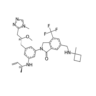 C=C[C@H](C)Nc1cc(C[C@H](Cc2nncn2C)OC)cc(N2Cc3c(cc(CNC4(C)CCC4)cc3C(F)(F)F)C2=O)c1